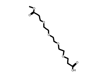 COC(=O)CCOCCOCCOCCOCCC(=O)O